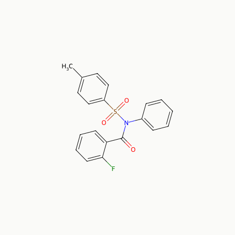 Cc1ccc(S(=O)(=O)N(C(=O)c2ccccc2F)c2ccccc2)cc1